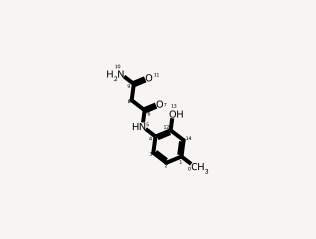 Cc1ccc(NC(=O)CC(N)=O)c(O)c1